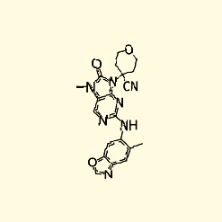 Cc1cc2ncoc2cc1Nc1ncc2c(n1)n(C1(C#N)CCOCC1)c(=O)n2C